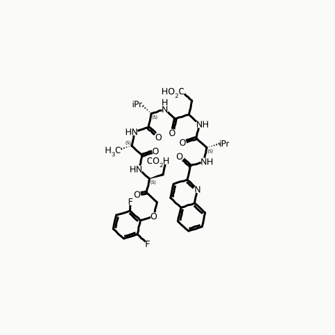 CC(C)[C@H](NC(=O)c1ccc2ccccc2n1)C(=O)NC(CC(=O)O)C(=O)N[C@H](C(=O)N[C@@H](C)C(=O)N[C@@H](CC(=O)O)C(=O)COc1c(F)cccc1F)C(C)C